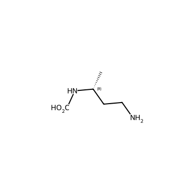 C[C@H](CCN)NC(=O)O